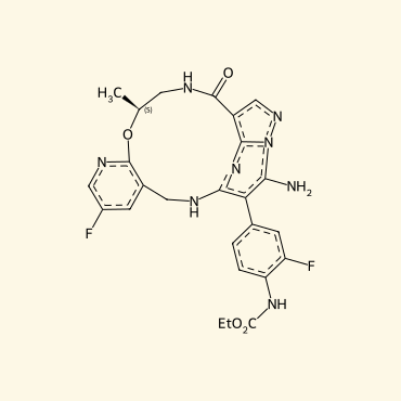 CCOC(=O)Nc1ccc(-c2c3nc4c(cnn4c2N)C(=O)NC[C@H](C)Oc2ncc(F)cc2CN3)cc1F